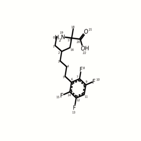 CCC(CCCc1c(F)c(F)cc(F)c1F)CC(C)(N)C(=O)O